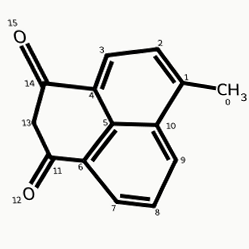 Cc1ccc2c3c(cccc13)C(=O)CC2=O